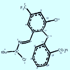 CC(C)(C)[S+]([O-])/N=C/c1cc(C(F)(F)F)cc(Cl)c1Sc1ccccc1C(=O)O